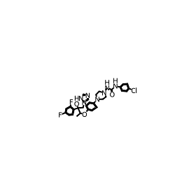 CC(Oc1ccc(N2CCN(NC(=O)Nc3ccc(Cl)cc3)CC2)cc1)C(O)(Cn1cncn1)c1ccc(F)cc1F